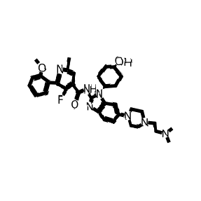 COc1ccccc1-c1nc(C)cc(C(=O)Nc2nc3ccc(N4CCN(CCN(C)C)CC4)cc3n2[C@H]2CC[C@@H](O)CC2)c1F